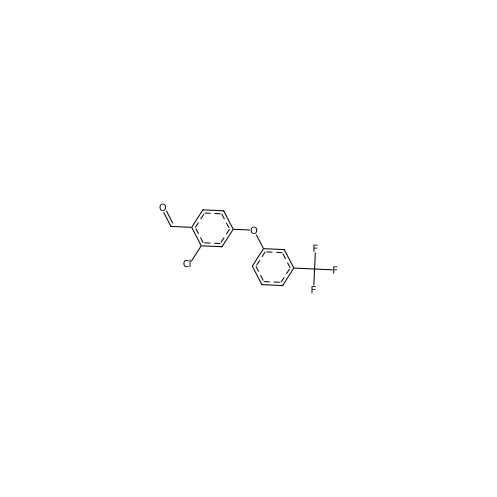 O=Cc1ccc(Oc2cccc(C(F)(F)F)c2)cc1Cl